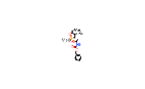 CCCCC(CP(=O)(OC)OC(C)NC(=O)OCc1ccccc1)C(=O)OC